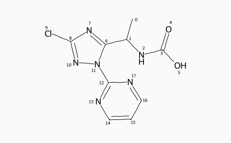 CC(NC(=O)O)c1nc(Cl)nn1-c1ncccn1